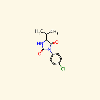 CC(C)C1NC(=O)N(c2ccc(Cl)cc2)C1=O